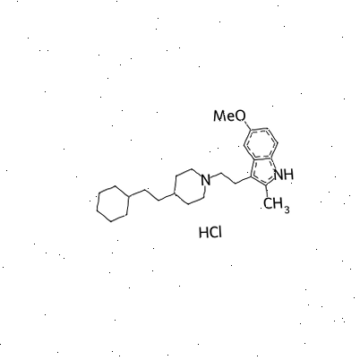 COc1ccc2[nH]c(C)c(CCN3CCC(CCC4CCCCC4)CC3)c2c1.Cl